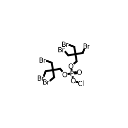 O=P(OCl)(OCC(CBr)(CBr)CBr)OCC(CBr)(CBr)CBr